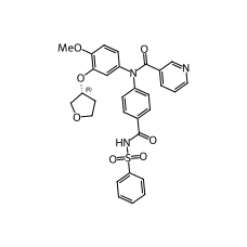 COc1ccc(N(C(=O)c2cccnc2)c2ccc(C(=O)NS(=O)(=O)c3ccccc3)cc2)cc1O[C@@H]1CCOC1